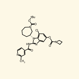 Cc1cc(C(=O)Nc2nc3cc(OC(=O)N4CCC4)cc(Cl)c3n2[C@@H]2CCCCN(C(=O)OC(C)(C)C)C2)ccn1